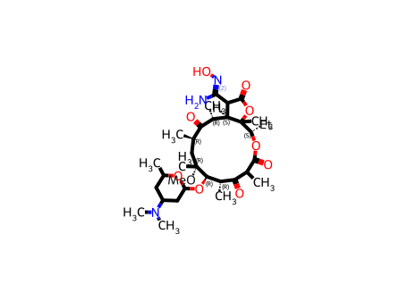 CC[C@@H]1OC(=O)C(C)C(=O)[C@H](C)[C@@H](OC2CC(N(C)C)CC(C)O2)[C@](C)(OC)C[C@@H](C)C(=O)[C@H](C)[C@H]2C(/C(N)=N/O)C(=O)OC12C